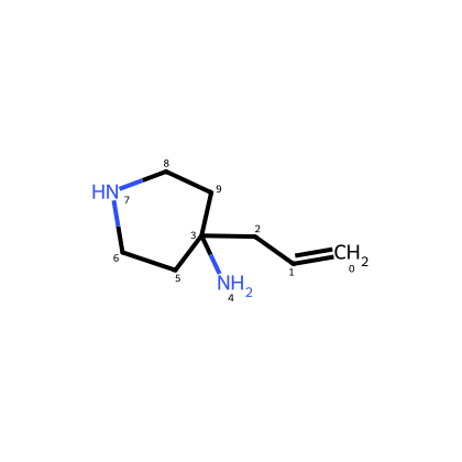 C=CCC1(N)CCNCC1